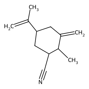 C=C(C)C1CC(=C)C(C)C(C#N)C1